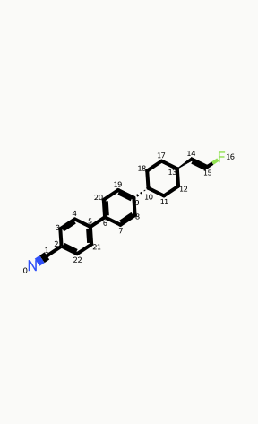 N#Cc1ccc(-c2ccc([C@H]3CC[C@H](C=CF)CC3)cc2)cc1